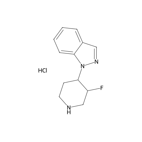 Cl.FC1CNCCC1n1ncc2ccccc21